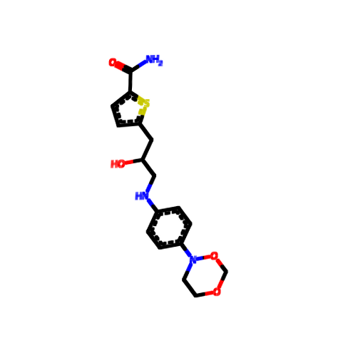 NC(=O)c1ccc(CC(O)CNc2ccc(N3CCOCO3)cc2)s1